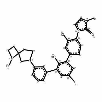 CC(C)N1CCC12CCN(c1cccc(-c3cc(F)cc(-c4ccc(-n5ccn(C)c5=O)c(Cl)c4)c3O)c1)C2